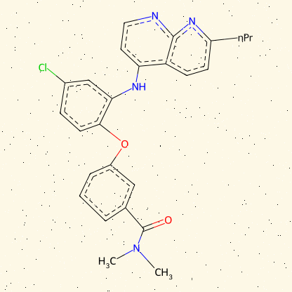 CCCc1ccc2c(Nc3cc(Cl)ccc3Oc3cccc(C(=O)N(C)C)c3)ccnc2n1